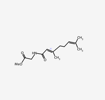 COC(=O)CNC(=O)/C=C(\C)CCC=C(C)C